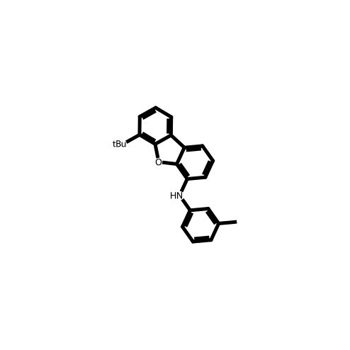 Cc1cccc(Nc2cccc3c2oc2c(C(C)(C)C)cccc23)c1